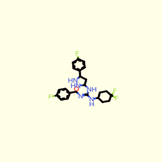 O=C(/N=C(/NC1CCC(F)(F)CC1)NC1CC(c2ccc(F)cc2)NN1)c1ccc(F)cc1